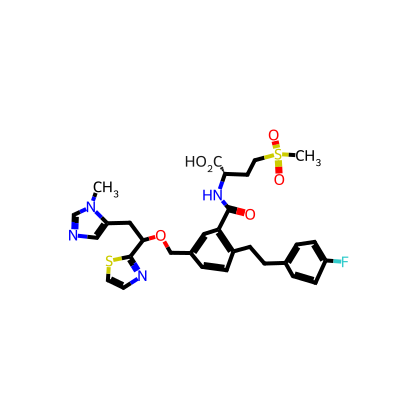 Cn1cncc1CC(OCc1ccc(CCc2ccc(F)cc2)c(C(=O)N[C@@H](CCS(C)(=O)=O)C(=O)O)c1)c1nccs1